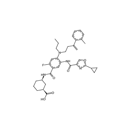 C=C(CCN(CCC)c1cc(F)c(C(=O)N[C@@H]2CCC[C@H](C(=O)O)C2)cc1NC(=O)c1coc(C2CC2)n1)c1ccccc1C